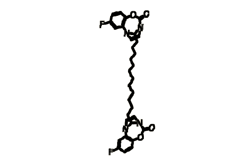 O=C1Oc2ccc(F)cc2N2C=CN1C2CCCCCCCCCCCCC1N2C=CN1c1cc(F)ccc1OC2=O